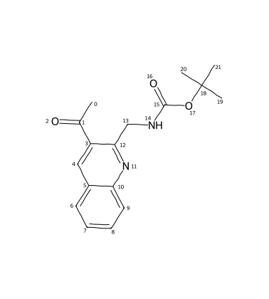 CC(=O)c1cc2ccccc2nc1CNC(=O)OC(C)(C)C